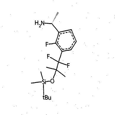 C[C@@H](N)c1cccc(C(F)(F)C(C)(C)O[Si](C)(C)C(C)(C)C)c1F